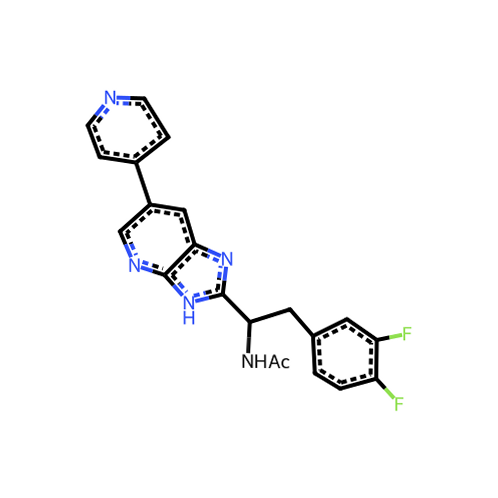 CC(=O)NC(Cc1ccc(F)c(F)c1)c1nc2cc(-c3ccncc3)cnc2[nH]1